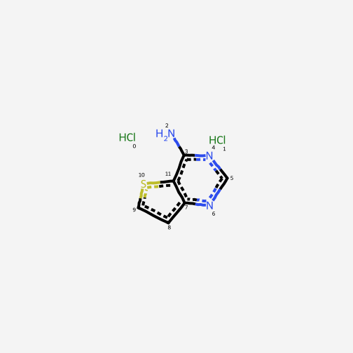 Cl.Cl.Nc1ncnc2ccsc12